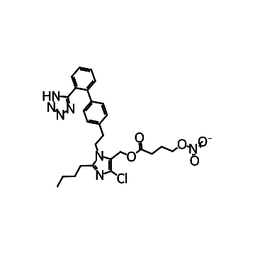 CCCCc1nc(Cl)c(COC(=O)CCCO[N+](=O)[O-])n1CCc1ccc(-c2ccccc2-c2nnn[nH]2)cc1